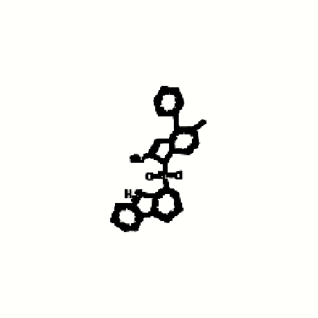 Cc1ccc2c(c1-c1ccccc1)C=C(C(C)(C)C)[CH]2[Zr]([Cl])([Cl])[c]1cccc2c1[SiH2]c1ccccc1-2